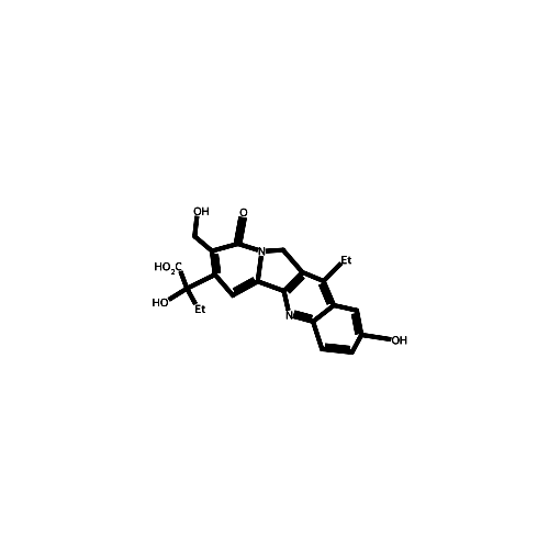 CCc1c2c(nc3ccc(O)cc13)-c1cc(C(O)(CC)C(=O)O)c(CO)c(=O)n1C2